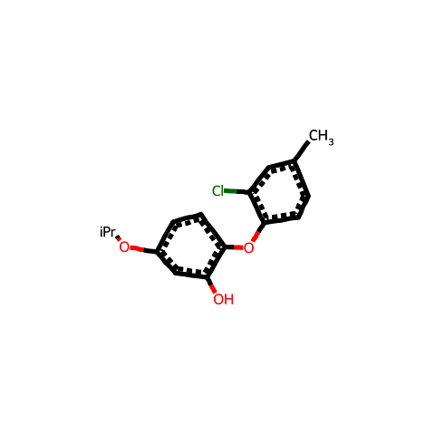 Cc1ccc(Oc2ccc(OC(C)C)cc2O)c(Cl)c1